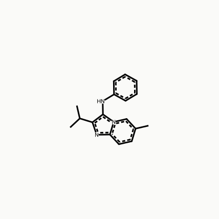 Cc1ccc2nc(C(C)C)c(Nc3ccccc3)n2c1